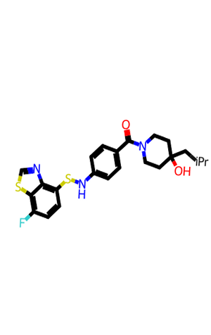 CC(C)CC1(O)CCN(C(=O)c2ccc(NSc3ccc(F)c4scnc34)cc2)CC1